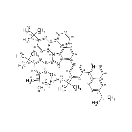 CC(C)c1ccc2c(-c3cc(-c4cccc5c4nc(-c4cc(C(C)(C)C)cc(C(C)(C)C)c4[O][Pt+])n5-c4ccc(C(C)(C)C)cc4-c4ccccc4)cc(C(C)(C)C)c3)nccc2c1